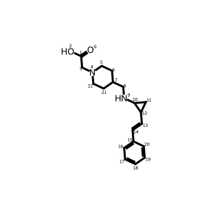 O=C(O)CN1CCC(CNC2CC2C=Cc2ccccc2)CC1